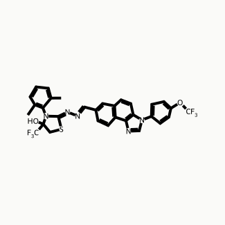 Cc1cccc(C)c1N1/C(=N/N=C/c2ccc3c(ccc4c3ncn4-c3ccc(OC(F)(F)F)cc3)c2)SCC1(O)C(F)(F)F